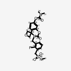 CNS(=O)(=O)Cc1cccc(CN2C(=O)Oc3cc(OC(=O)N(C)C)ccc3C23COC3)c1F